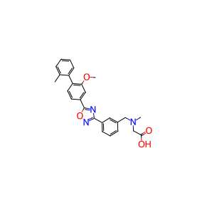 COc1cc(-c2nc(-c3cccc(CN(C)CC(=O)O)c3)no2)ccc1-c1ccccc1C